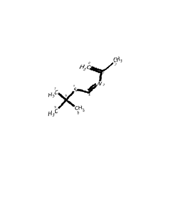 C=C(C)/N=C\SC(C)(C)C